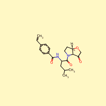 C=Cc1ccc(C(=O)NC(CC(C)C)C(=O)N2CC[C@@H]3OCC(=O)C32)cc1